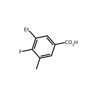 CCc1cc(C(=O)O)cc(C)c1F